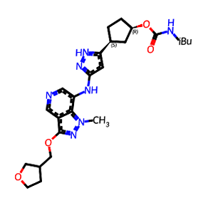 CCC(C)NC(=O)O[C@@H]1CC[C@H](c2cc(Nc3cncc4c(OCC5CCOC5)nn(C)c34)n[nH]2)C1